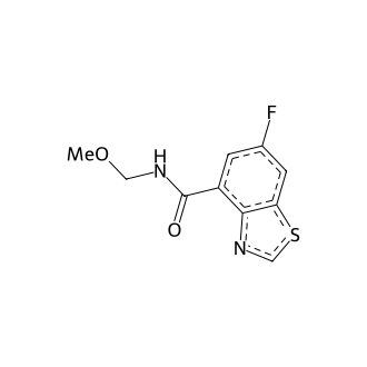 COCNC(=O)c1cc(F)cc2scnc12